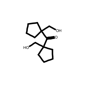 O=C(C1(CO)CCCC1)C1(CO)CCCC1